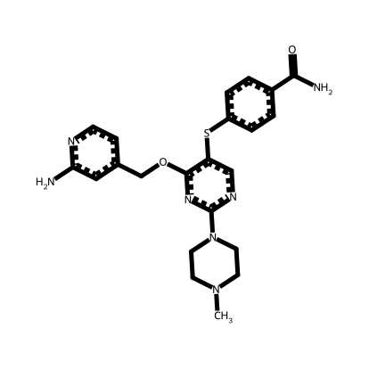 CN1CCN(c2ncc(Sc3ccc(C(N)=O)cc3)c(OCc3ccnc(N)c3)n2)CC1